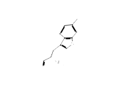 N[C@H](C=O)Cc1c[nH]c2cc(F)ccc12